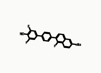 CCCCc1ccc2c(F)c(-c3ccc(-c4cc(F)c(C#N)c(F)c4)cc3)ccc2c1